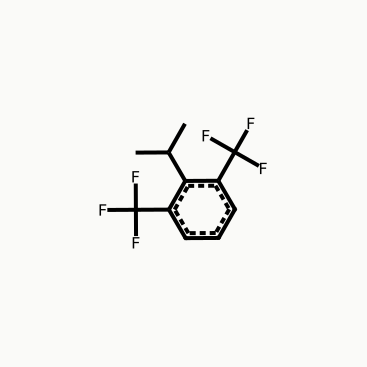 CC(C)c1c(C(F)(F)F)cccc1C(F)(F)F